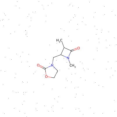 CC1C(=O)N(C)C1CN1CCOC1=O